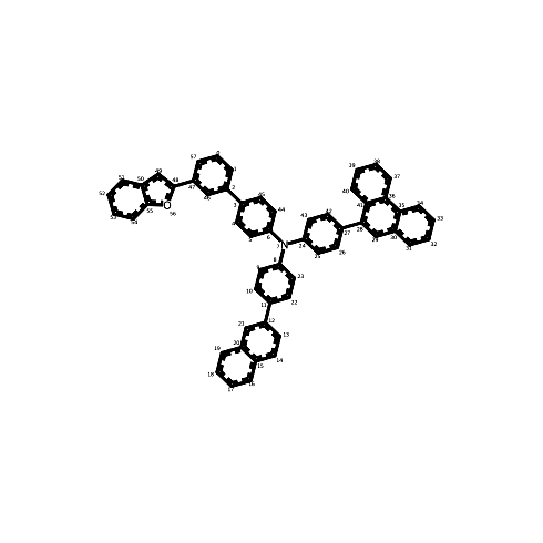 c1cc(-c2ccc(N(c3ccc(-c4ccc5ccccc5c4)cc3)c3ccc(-c4cc5ccccc5c5ccccc45)cc3)cc2)cc(-c2cc3ccccc3o2)c1